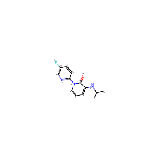 CC(C)Nc1cccn(-c2ccc(F)cn2)c1=O